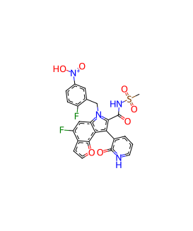 CS(=O)(=O)NC(=O)c1c(-c2ccc[nH]c2=O)c2c3occc3c(F)cc2n1Cc1cc([N+](=O)O)ccc1F